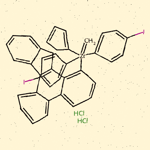 Cl.Cl.[CH2]=[Zr]([C]1=CC=CC1)([c]1ccc(I)cc1)([c]1ccc(I)cc1)[c]1cccc2c1c1c(c3ccccc32)-c2ccccc2C1